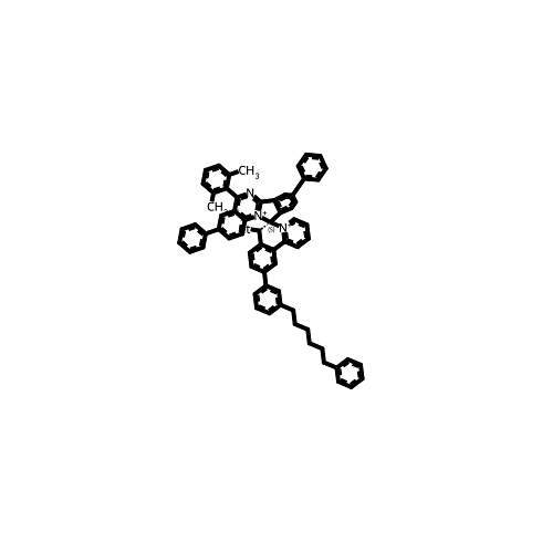 CCC1c2ccc(-c3cccc(CCCCCCc4ccccc4)c3)cc2-c2cccc[n+]2[C@@]12c1ccc(-c3ccccc3)cc1-c1nc(-c3c(C)cccc3C)c3cc(-c4ccccc4)ccc3[n+]12